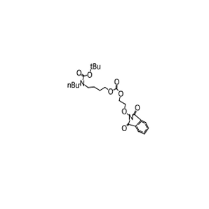 CCCCN(CCCCOC(=O)OCCON1C(=O)c2ccccc2C1=O)C(=O)OC(C)(C)C